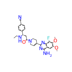 CCN[C@H](CC(=O)N1CC=C(c2nc(N)c3cc(OC)c(OC)c(F)c3n2)CC1)c1ccc(C#N)cc1